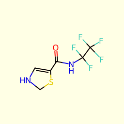 O=C(NC(F)(F)C(F)(F)F)C1=CNCS1